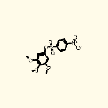 COc1cc(OS(=O)(=O)c2ccc([N+](=O)[O-])cc2)cc(OC)c1OC